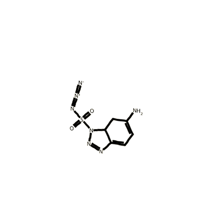 [N-]=[N+]=NS(=O)(=O)N1N=NC2=CC=C(N)CC21